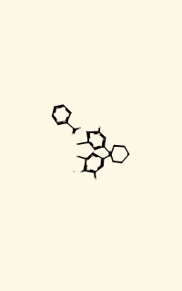 COc1c(Cl)cc(C2(c3cc(Cl)c(OC(=O)c4ccccc4)c(Cl)c3)CCCCC2)cc1Cl